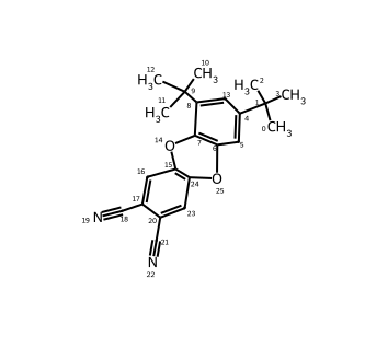 CC(C)(C)c1cc2c(c(C(C)(C)C)c1)Oc1cc(C#N)c(C#N)cc1O2